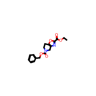 CCOC(=O)c1nc2c(o1)CCN(C(=O)OCc1ccccc1)C2